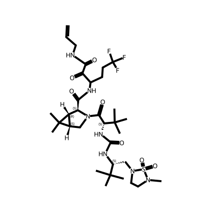 C=CCNC(=O)C(=O)C(CCC(F)(F)F)NC(=O)[C@@H]1[C@@H]2[C@H](CN1C(=O)[C@@H](NC(=O)N[C@H](CN1CCN(C)S1(=O)=O)C(C)(C)C)C(C)(C)C)C2(C)C